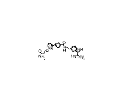 N=C(N)c1c[nH]c2ccc(CCNC(=O)c3ccc(-c4ccnc(OCCC(N)=O)n4)cc3)cc12